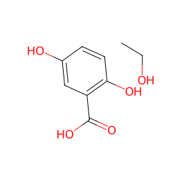 CCO.O=C(O)c1cc(O)ccc1O